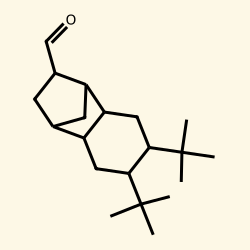 CC(C)(C)C1CC2C3CC(C=O)C(C3)C2CC1C(C)(C)C